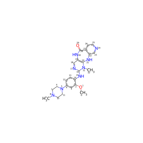 COc1cc(N2CCN(C)CC2)ccc1NC1N=CC2=C(Nc3cnccc3C(=O)N2)N1C